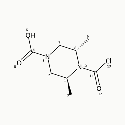 C[C@H]1CN(C(=O)O)C[C@H](C)N1C(=O)Cl